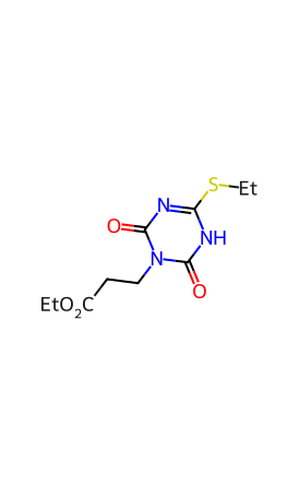 CCOC(=O)CCn1c(=O)nc(SCC)[nH]c1=O